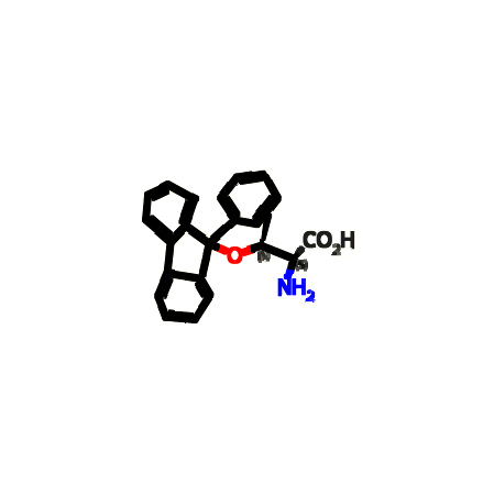 C[C@H](OC1(c2ccccc2)c2ccccc2-c2ccccc21)[C@H](N)C(=O)O